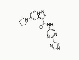 O=C(Nc1cnc(-n2cncn2)nc1)c1cnn2ccc(N3CCCC3)cc12